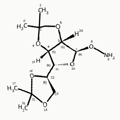 CC1(C)O[C@@H]2[C@H](O1)[C@@H](ON)O[C@@H]2[C@H]1COC(C)(C)O1